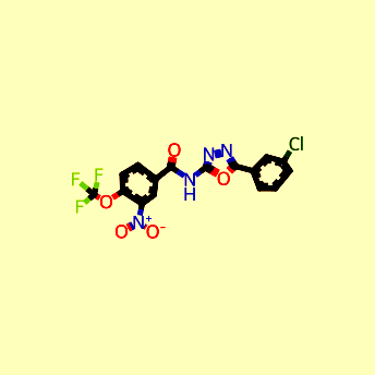 O=C(Nc1nnc(-c2cccc(Cl)c2)o1)c1ccc(OC(F)(F)F)c([N+](=O)[O-])c1